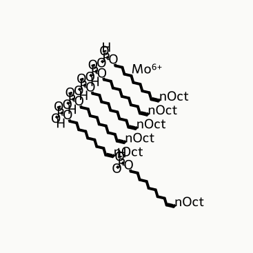 CCCCCCCC/C=C\CCCCCCCCO[PH](=O)[O-].CCCCCCCC/C=C\CCCCCCCCO[PH](=O)[O-].CCCCCCCC/C=C\CCCCCCCCO[PH](=O)[O-].CCCCCCCC/C=C\CCCCCCCCO[PH](=O)[O-].CCCCCCCC/C=C\CCCCCCCCO[PH](=O)[O-].CCCCCCCC/C=C\CCCCCCCCO[PH](=O)[O-].[Mo+6]